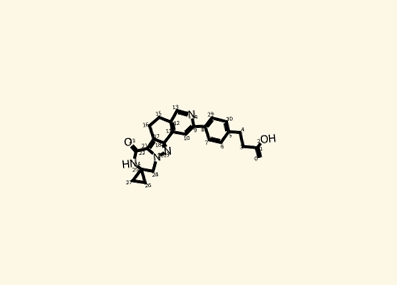 C=C(O)CCc1ccc(-c2cc3c(cn2)CCc2c-3nn3c2C(=O)NC2(CC2)C3)cc1